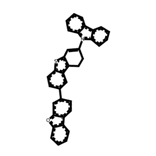 C1=C(n2c3ccccc3c3ccccc32)CCc2c1sc1ccc(-c3ccc4c(c3)oc3ccccc34)cc21